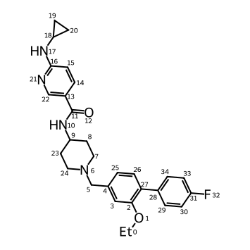 CCOc1cc(CN2CCC(NC(=O)c3ccc(NC4CC4)nc3)CC2)ccc1-c1ccc(F)cc1